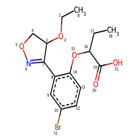 CCOC1CON=C1c1cc(Br)ccc1OC(CC)C(=O)O